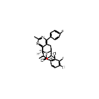 Cc1nc(-c2ccc(F)cc2)c2c(n1)[C@@H]1C(C)C[C@H](C)C(C2)N1C(=O)c1ccc(Cl)c(F)c1Cl